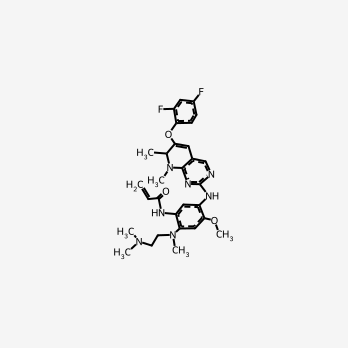 C=CC(=O)Nc1cc(Nc2ncc3c(n2)N(C)C(C)C(Oc2ccc(F)cc2F)=C3)c(OC)cc1N(C)CCN(C)C